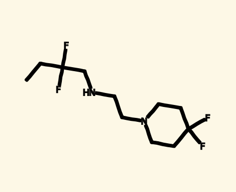 CCC(F)(F)CNCCN1CCC(F)(F)CC1